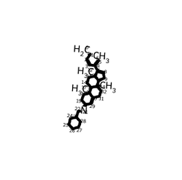 C=C/C=C\C(=C/C)C1=CCC2C1(C)CCC1C3(C)CC/C(=N\CC4CCCCC4)C=C3CCC12C